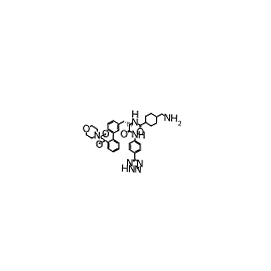 NCC1CCC(C(=O)N[C@@H](Cc2cccc(-c3ccccc3S(=O)(=O)N3CCOCC3)c2)C(=O)Nc2ccc(-c3nn[nH]n3)cc2)CC1